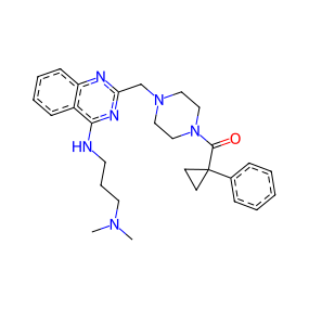 CN(C)CCCNc1nc(CN2CCN(C(=O)C3(c4ccccc4)CC3)CC2)nc2ccccc12